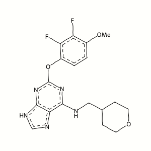 COc1ccc(Oc2nc(NCC3CCOCC3)c3nc[nH]c3n2)c(F)c1F